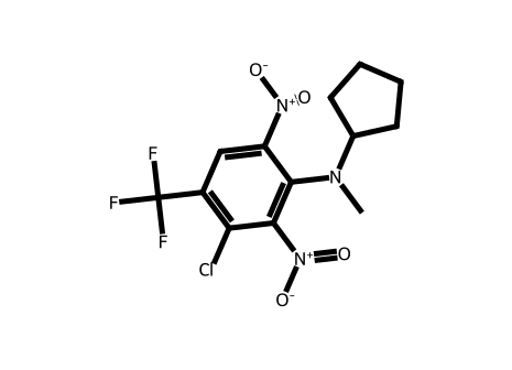 CN(c1c([N+](=O)[O-])cc(C(F)(F)F)c(Cl)c1[N+](=O)[O-])C1CCCC1